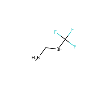 BCBC(F)(F)F